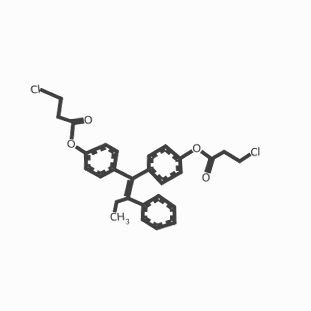 CCC(=C(c1ccc(OC(=O)CCCl)cc1)c1ccc(OC(=O)CCCl)cc1)c1ccccc1